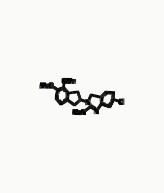 CNC1=Nc2cc(Cl)ccc2CN1C1Cc2ccc(OC)c(OC)c2C1